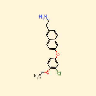 NCCc1ccc2cc(Oc3ccc(OCC(F)(F)F)c(Cl)c3)ccc2c1